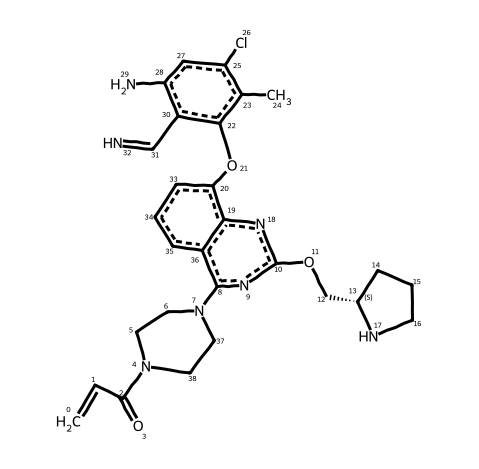 C=CC(=O)N1CCN(c2nc(OC[C@@H]3CCCN3)nc3c(Oc4c(C)c(Cl)cc(N)c4C=N)cccc23)CC1